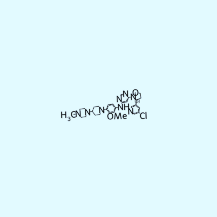 COc1cc(N2CCC(N3CCN(C)CC3)CC2)ccc1Nc1cc(N2OCC[C@H]2c2cncc(Cl)c2)ncn1